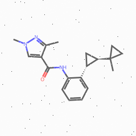 Cc1nn(C)cc1C(=O)Nc1ccccc1[C@@H]1C[C@H]1C1(C)CC1